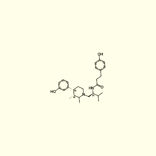 CC(C)[C@@H](CN1CC[C@@H](c2cccc(O)c2)[C@@H](C)C1C)NC(=O)CCc1ccc(O)cc1